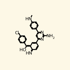 CNc1ccc(-c2cc(C3=C/C(=C(/O)c4ccc(Cl)cc4)C(=N)C=C3)nc(N)n2)cc1